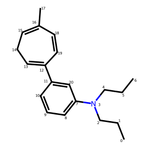 CCCN(CCC)c1cccc(C2=CCC=C(C)C=C2)c1